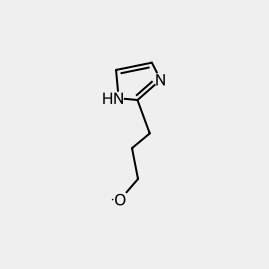 [O]CCCc1ncc[nH]1